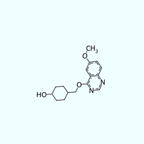 COc1ccc2ncnc(OCC3CCC(O)CC3)c2c1